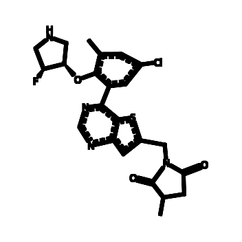 Cc1cc(Cl)cc(-c2ncnc3cc(CN4C(=O)CC(C)C4=O)sc23)c1O[C@@H]1CNC[C@@H]1F